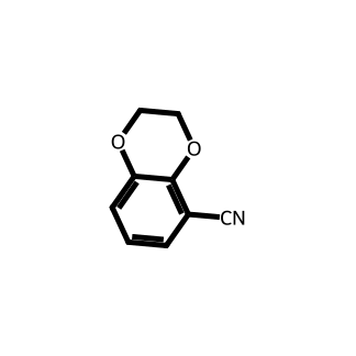 N#Cc1cccc2c1OCCO2